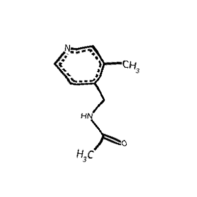 CC(=O)NCc1ccncc1C